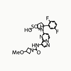 COC1CN(C(=O)Nc2cnn3ccc(N4CCCC4c4cc(F)ccc4F)nc23)C1.O=S(=O)(O)O